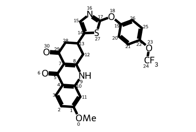 COc1ccc2c(=O)c3c([nH]c2c1)CC(c1cnc(Oc2ccc(OC(F)(F)F)cc2)s1)CC3=O